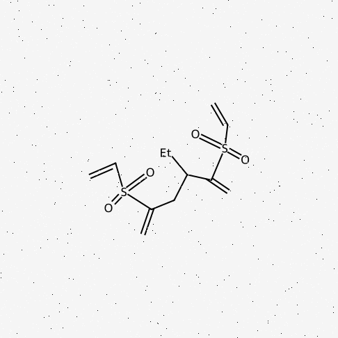 C=CS(=O)(=O)C(=C)CC(CC)C(=C)S(=O)(=O)C=C